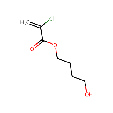 C=C(Cl)C(=O)OCCCCO